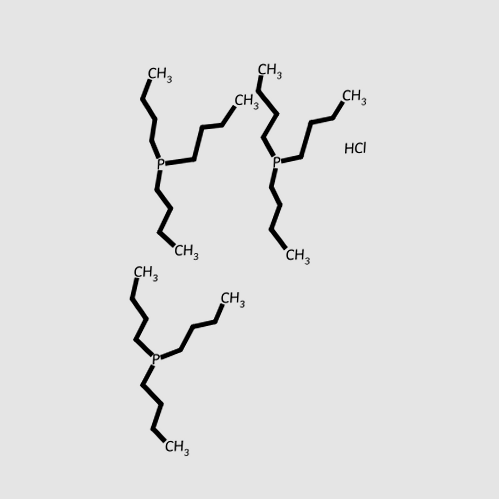 CCCCP(CCCC)CCCC.CCCCP(CCCC)CCCC.CCCCP(CCCC)CCCC.Cl